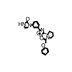 O=C(COc1ccccc1)N1CCCC[C@@H]1c1noc(-c2cccc(-n3cc[nH]c3=O)c2)n1